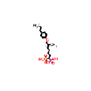 CCCc1ccc(OC/C(C)=C/CCCC(P(=O)(O)O)S(=O)(=O)O)cc1